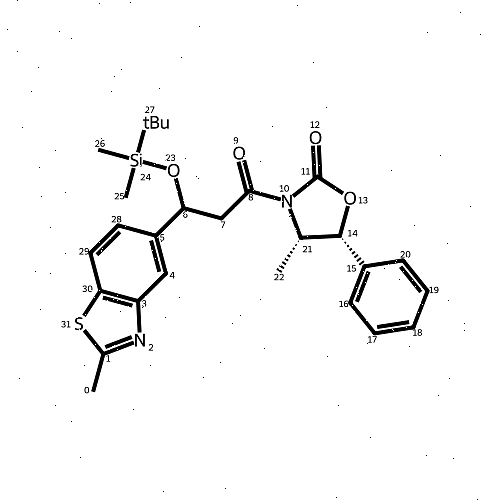 Cc1nc2cc(C(CC(=O)N3C(=O)O[C@H](c4ccccc4)[C@@H]3C)O[Si](C)(C)C(C)(C)C)ccc2s1